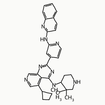 CN(c1nc(-c2ccnc(Nc3ccc4ccccc4n3)c2)nc2cncc(C3CCC3)c12)C1CCNCC1(C)C